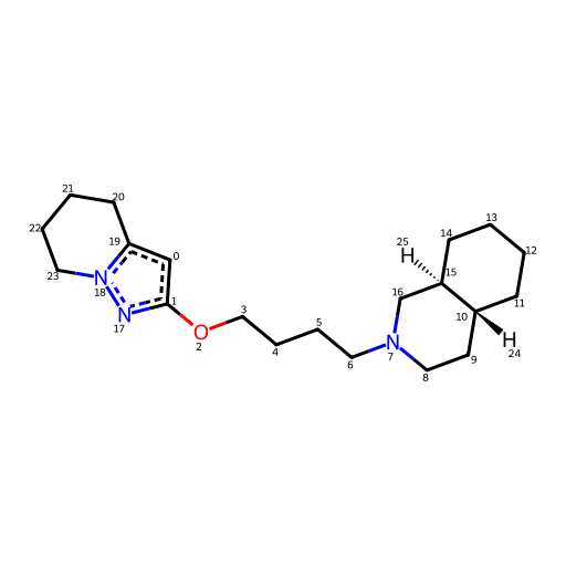 c1c(OCCCCN2CC[C@H]3CCCC[C@@H]3C2)nn2c1CCCC2